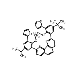 COc1c(-c2ccc3ccc4ccc(-c5cc(C(C)(C)C)cc(-c6cccs6)c5OC)bc4c3n2)cc(C(C)C)cc1-c1ccco1